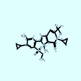 CCS(=O)(=O)c1cc(C2CC2)c(N)nc1-c1nc2cc(C(F)(F)F)n(C3CC3)c(=O)c2n1C